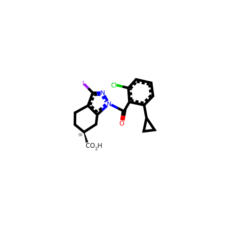 O=C(O)[C@H]1CCc2c(I)nn(C(=O)c3c(Cl)cccc3C3CC3)c2C1